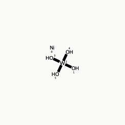 [Ni].[OH][W]([OH])([OH])[OH]